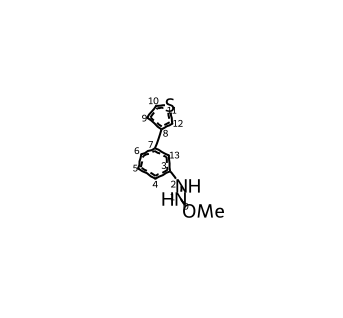 CONNc1cccc(-c2ccsc2)c1